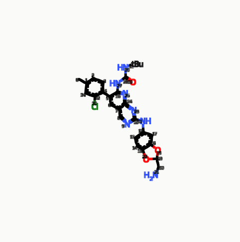 Cc1ccc(-c2cc3cnc(Nc4ccc5c(c4)OC(CN)O5)nc3nc2NC(=O)NC(C)(C)C)c(Cl)c1